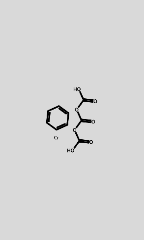 O=C(O)OC(=O)OC(=O)O.[Cr].c1ccccc1